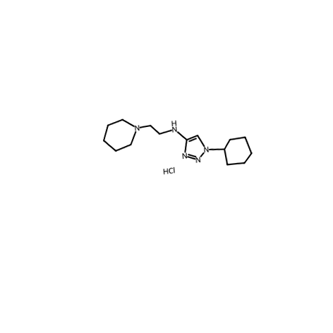 Cl.c1c(NCCN2CCCCC2)nnn1C1CCCCC1